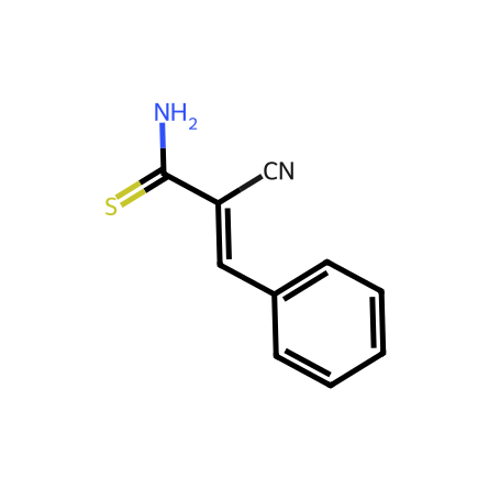 N#C/C(=C\c1ccccc1)C(N)=S